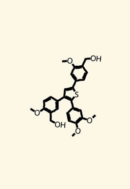 COc1ccc(-c2cc(-c3ccc(CO)c(OC)c3)sc2-c2ccc(OC)c(OC)c2)cc1CO